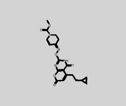 COC(=O)N1CCC(=NOc2nc3oc(=O)cc(CCC4CC4)c3c(=O)[nH]2)CC1